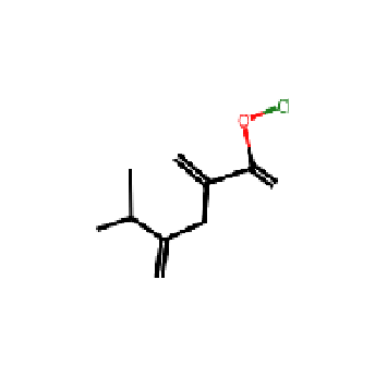 C=C(CC(=C)C(C)C)C(=C)OCl